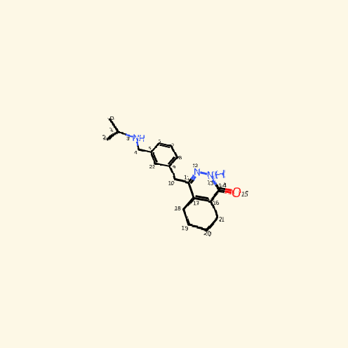 CC(C)NCc1cccc(Cc2n[nH]c(=O)c3c2CCCC3)c1